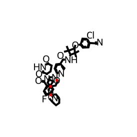 CC1(C)C(NC(=O)c2ccc(N3CCC(CN4CC5CCC(C4)N5c4cc5c(cc4F)C(=O)N(C4CCC(=O)NC4=O)C5=O)CC3)nc2)C(C)(C)C1Oc1ccc(C#N)c(Cl)c1